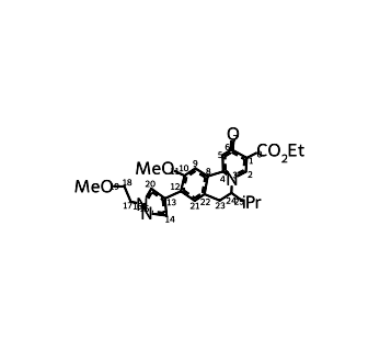 CCOC(=O)c1cn2c(cc1=O)-c1cc(OC)c(-c3cnn(CCOC)c3)cc1CC2C(C)C